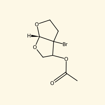 CC(=O)OC1CO[C@@H]2OCCC12Br